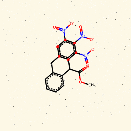 COC(=O)C12c3ccccc3C(c3ccccc31)c1cc([N+](=O)[O-])c([N+](=O)[O-])c([N+](=O)[O-])c12